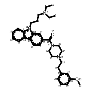 CCN(CC)CCCn1c2ccccc2c2ccc(C(=O)N3CCN(CCc4cccc(OC)c4)CC3)cc21